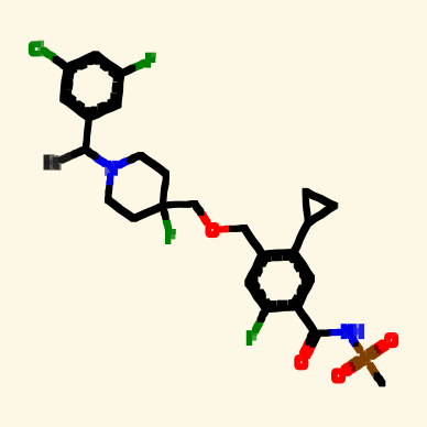 CCC(c1cc(F)cc(Cl)c1)N1CCC(F)(COCc2cc(F)c(C(=O)NS(C)(=O)=O)cc2C2CC2)CC1